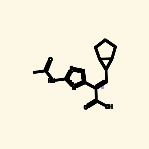 CC(=O)Nc1nc(/C(=C\C2C3CCCC23)C(=O)O)cs1